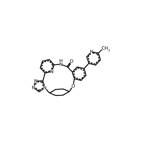 Cc1ccc(-c2ccc3c(c2)C(=O)Nc2cccc(n2)-c2nncn2C2CCC(CC2)O3)cn1